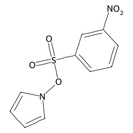 O=[N+]([O-])c1cccc(S(=O)(=O)On2cccc2)c1